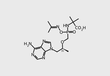 CC(C)=NOP(=O)(CO[C@@H](C)Cn1cnc2c(N)ncnc21)NC(C)(C)C(=O)O